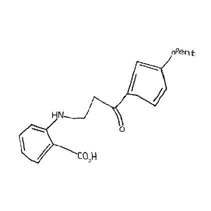 CCCCCc1ccc(C(=O)CCNc2ccccc2C(=O)O)cc1